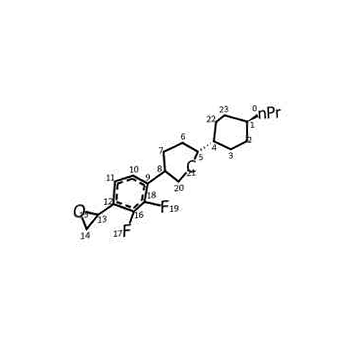 CCC[C@H]1CC[C@H](C2CCC(c3ccc(C4CO4)c(F)c3F)CC2)CC1